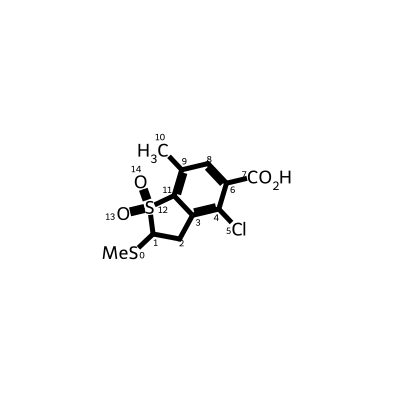 CSC1Cc2c(Cl)c(C(=O)O)cc(C)c2S1(=O)=O